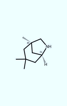 CC1(C)C[C@H]2C[C@](C)(CN2)C1